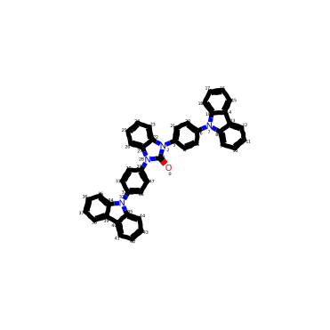 O=c1n(-c2ccc(-n3c4ccccc4c4ccccc43)cc2)c2ccccc2n1-c1ccc(-n2c3ccccc3c3ccccc32)cc1